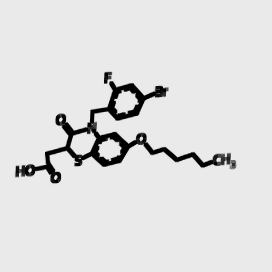 CCCCCCOc1ccc2c(c1)N(Cc1ccc(Br)cc1F)C(=O)C(CC(=O)O)S2